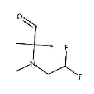 CN(CC(F)F)C(C)(C)C=O